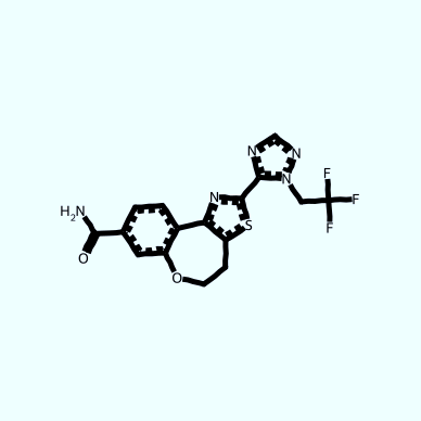 NC(=O)c1ccc2c(c1)OCCc1sc(-c3ncnn3CC(F)(F)F)nc1-2